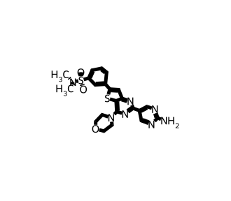 CN(C)S(=O)(=O)c1cccc(-c2cc3nc(-c4cnc(N)nc4)nc(N4CCOCC4)c3s2)c1